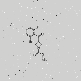 CC(C)(C)OC(=O)N1CC(C(=O)c2c(F)cccc2Br)C1